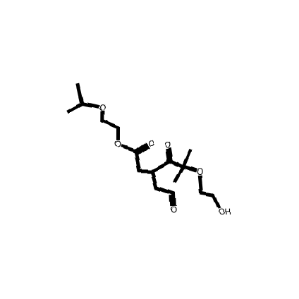 CC(C)OCCOC(=O)CC(CC=O)C(=O)C(C)(C)OCCO